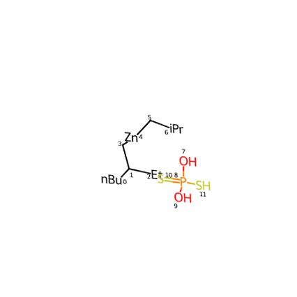 CCCCC(CC)[CH2][Zn][CH2]C(C)C.OP(O)(=S)S